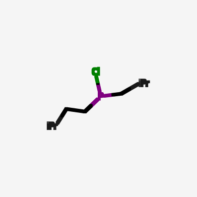 CC(C)CCP(Cl)CC(C)C